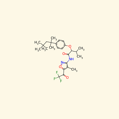 Cc1c(NC(=O)C(Oc2ccc(C(C)(C)CC(C)(C)C)cc2)C(C)C)noc1C(=O)C(F)(F)F